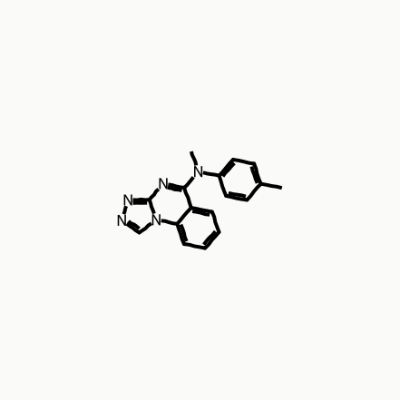 Cc1ccc(N(C)c2nc3nncn3c3ccccc23)cc1